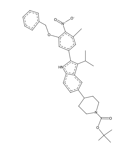 Cc1cc(-c2[nH]c3ccc(C4CCN(C(=O)OC(C)(C)C)CC4)cc3c2C(C)C)cc(OCc2ccccc2)c1[N+](=O)[O-]